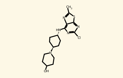 Cc1nc2c(N[C@H]3CC[C@H](N4CCC(O)CC4)CC3)nc(Cl)nc2s1